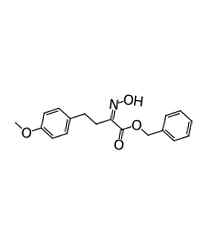 COc1ccc(CCC(=NO)C(=O)OCc2ccccc2)cc1